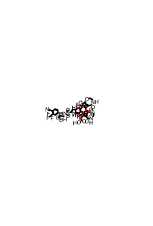 N#Cc1ccc(OP(=O)(O)CNS(=O)(=O)c2cc3c(F)c(-c4cc5c(CC(=O)O)c(c4CC(=O)O)C(=O)NCCO5)c(-c4cc5c(CC(=O)O)c(c4CC(=O)O)C(=O)NCCO5)c(F)c3s2)cc1C(F)(F)F